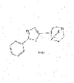 Br.c1ccc(-c2ncc(N3CCN4CCC3CC4)s2)cc1